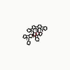 c1ccc(-n2c3ccccc3c3ccc(-n4c5ccccc5c5ccc(-n6c7c(ccc8c9ccccc9n(-c9ccccc9)c87)c7ccc8c9ccccc9n(-c9ccccc9)c8c76)cc54)cc32)cc1